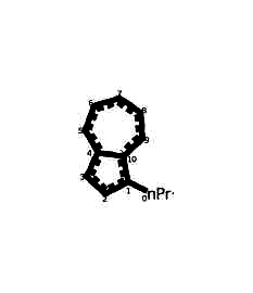 CC[CH]c1ccc2cccccc1-2